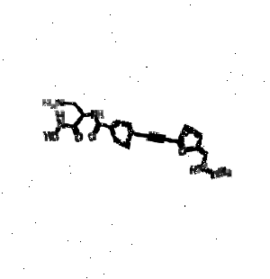 CCCCNCc1ccc(C#Cc2ccc(C(=O)NC(CN)C(=O)NO)cc2)o1